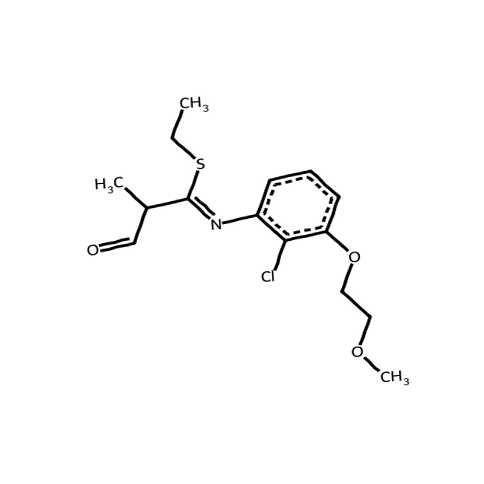 CCSC(=Nc1cccc(OCCOC)c1Cl)C(C)C=O